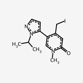 CC(C)n1nccc1-c1cn(C)c(=O)cc1CI